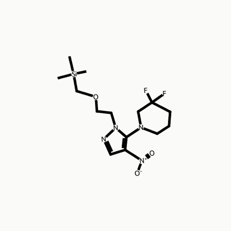 C[Si](C)(C)COCCn1ncc([N+](=O)[O-])c1N1CCCC(F)(F)C1